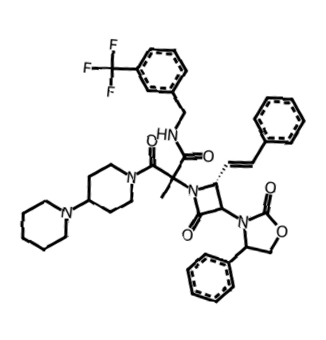 CC(C(=O)NCc1cccc(C(F)(F)F)c1)(C(=O)N1CCC(N2CCCCC2)CC1)N1C(=O)C(N2C(=O)OCC2c2ccccc2)[C@H]1/C=C/c1ccccc1